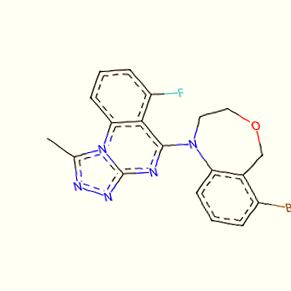 Cc1nnc2nc(N3CCOCc4c(Br)cccc43)c3c(F)cccc3n12